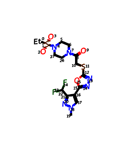 CCS(=O)(=O)N1CCN(C(=O)CSc2nnc(-c3cn(C)nc3C(F)F)o2)CC1